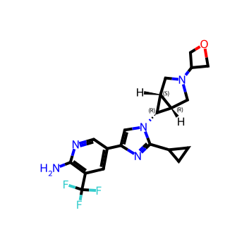 Nc1ncc(-c2cn([C@@H]3[C@@H]4CN(C5COC5)C[C@@H]43)c(C3CC3)n2)cc1C(F)(F)F